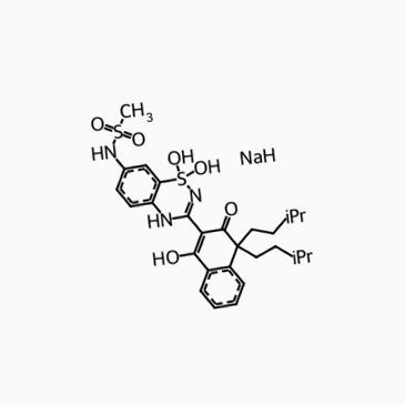 CC(C)CCC1(CCC(C)C)C(=O)C(C2=NS(O)(O)c3cc(NS(C)(=O)=O)ccc3N2)=C(O)c2ccccc21.[NaH]